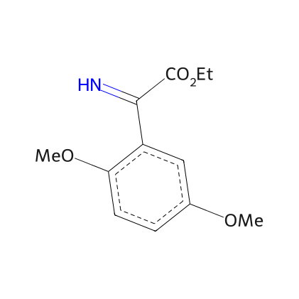 CCOC(=O)C(=N)c1cc(OC)ccc1OC